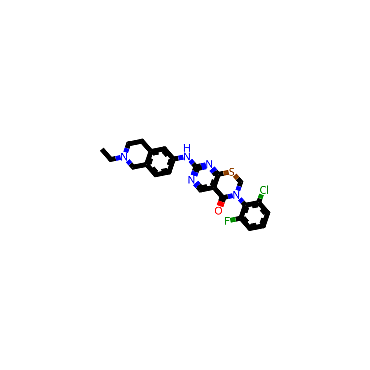 CCN1CCc2cc(Nc3ncc4c(n3)SCN(c3c(F)cccc3Cl)C4=O)ccc2C1